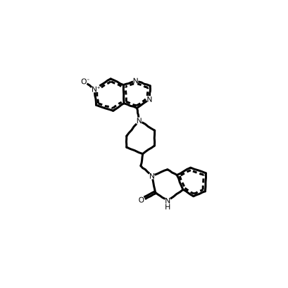 O=C1Nc2ccccc2CN1CC1CCN(c2ncnc3c[n+]([O-])ccc23)CC1